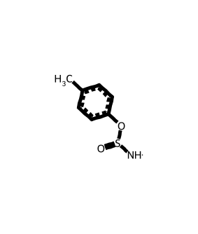 Cc1ccc(OS([NH])=O)cc1